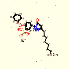 CCCCCCCCCCCCCCCCCc1cc(=O)n(-c2ccc(Oc3ccccc3)c(S(=O)(=O)[O-])c2)[nH]1.[K+]